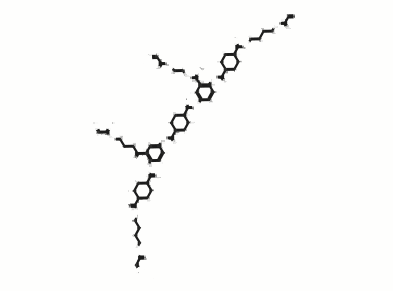 C=CC(=O)OCCCCOC(=O)C1CCC(C(=O)Oc2ccc(OC(=O)C3CCC(C(=O)Oc4ccc(OC(=O)C5CCC(C(=O)OCCCCOC(=O)C=C)CC5)c(C(=O)OCCOC(=O)C=C)c4)CC3)cc2C(=O)CCCOC(=O)C=C)CC1